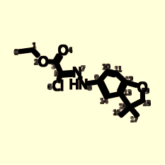 CCOC(=O)C(Cl)=NNc1ccc2c(c1)C(C)(C)CO2